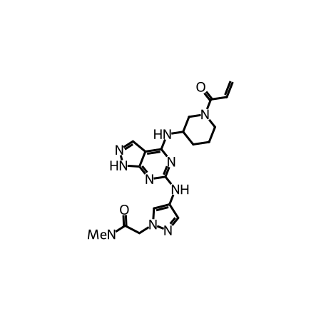 C=CC(=O)N1CCCC(Nc2nc(Nc3cnn(CC(=O)NC)c3)nc3[nH]ncc23)C1